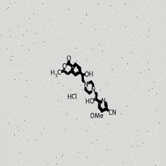 COc1cc(C(O)CN2CCN(CC(O)c3ccc4c(c3)CC(C)OC4=O)CC2)ncc1C#N.Cl